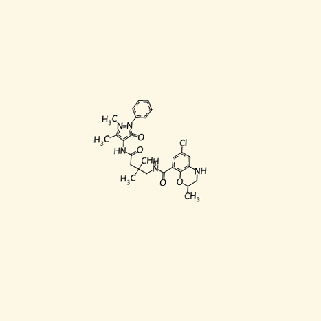 Cc1c(NC(=O)CC(C)(C)CNC(=O)c2cc(Cl)cc3c2OC(C)CN3)c(=O)n(-c2ccccc2)n1C